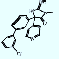 CN1C(=N)NC(c2ccncc2)(c2cccc(-c3cccc(Cl)c3)c2)C1=O